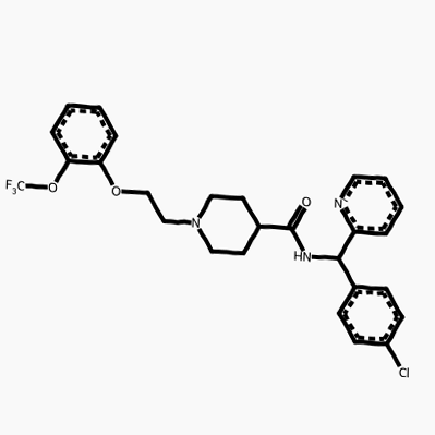 O=C(NC(c1ccc(Cl)cc1)c1ccccn1)C1CCN(CCOc2ccccc2OC(F)(F)F)CC1